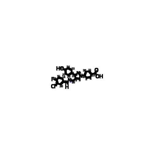 O=C(O)c1ccc(-n2cc(/C=N/Nc3ccc(F)c(Cl)c3)c(-c3ccc(O)cc3)n2)cc1